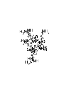 CCC(=O)N(CCN)C(CCCNC(=N)N)C(=O)NCCN(C(=O)CCCCCN)C(Cc1cnc[nH]1)C(=O)NCCN(C(=O)CCCCNC(=N)N)C(CCCCN)C(N)=O